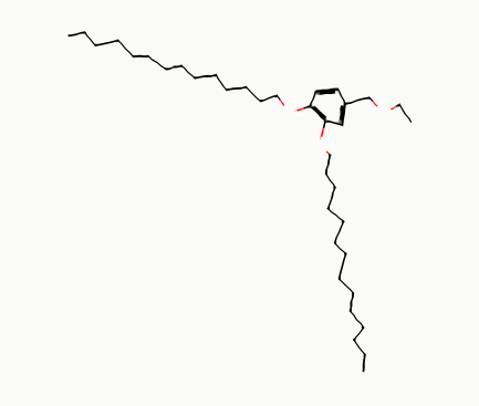 CCCCCCCCCCCCCCOc1ccc(COCC)cc1OCCCCCCCCCCCCCC